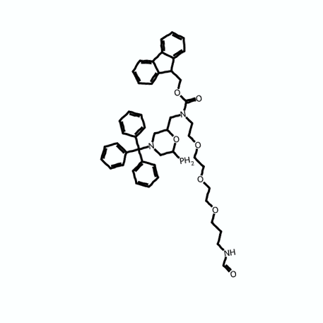 O=CNCCCOCCOCCOCCN(CC1CN(C(c2ccccc2)(c2ccccc2)c2ccccc2)CC(P)O1)C(=O)OCC1c2ccccc2-c2ccccc21